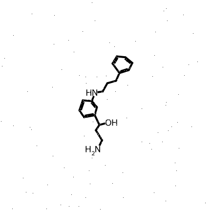 NCCC(O)c1cccc(NCCCc2ccccc2)c1